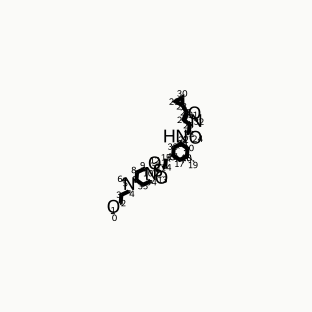 COCCCN(C)C1CCN(S(=O)(=O)CC[C@H]2C[C@@H](C)C[C@@H](NC(=O)c3cc(C4CC4)on3)C2)CC1